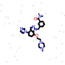 CN1CCN(CCOc2ccc(-n3ccnc3)c3cnn(Cc4cccc(C(=O)N(C)C)c4)c23)CC1